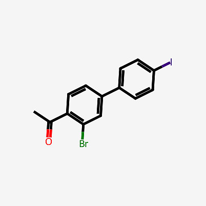 CC(=O)c1ccc(-c2ccc(I)cc2)cc1Br